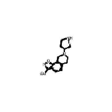 CC(C)(C)c1noc2c3c(ccc12)CCN(C1CCNCC1)C3